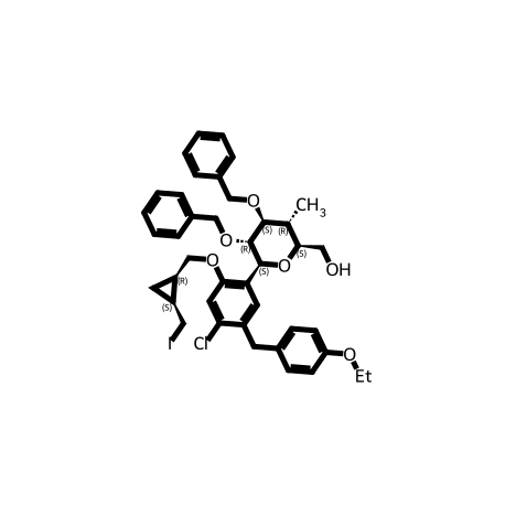 CCOc1ccc(Cc2cc([C@@H]3O[C@H](CO)[C@@H](C)[C@H](OCc4ccccc4)[C@H]3OCc3ccccc3)c(OC[C@@H]3C[C@@H]3CI)cc2Cl)cc1